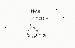 CCc1cccc(C[C@H](NC)C(=O)O)c1